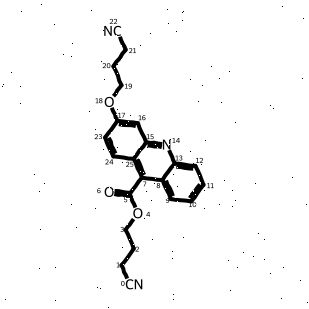 N#CCCCOC(=O)c1c2ccccc2nc2cc(OCCCC#N)ccc12